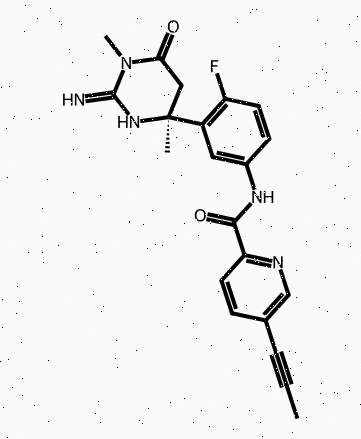 CC#Cc1ccc(C(=O)Nc2ccc(F)c([C@]3(C)CC(=O)N(C)C(=N)N3)c2)nc1